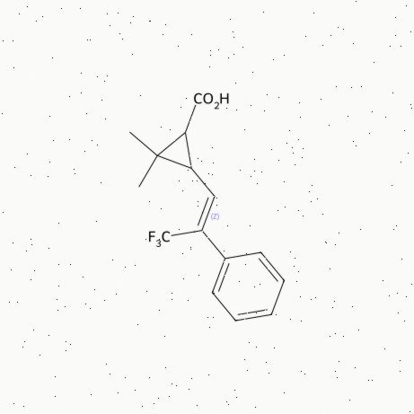 CC1(C)C(/C=C(/c2ccccc2)C(F)(F)F)C1C(=O)O